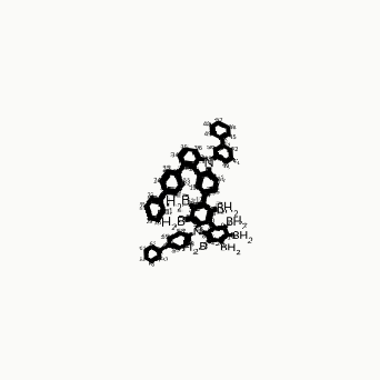 Bc1c(B)c(B)c2c(c1B)c1c(B)c(-c3ccc4c(c3)c3c(-c5ccc(-c6ccccc6)cc5)cccc3n4-c3cccc(-c4ccccc4)c3)c(B)c(B)c1n2-c1ccc(-c2ccccc2)cc1